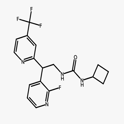 O=C(NCC(c1cc(C(F)(F)F)ccn1)c1cccnc1F)NC1CCC1